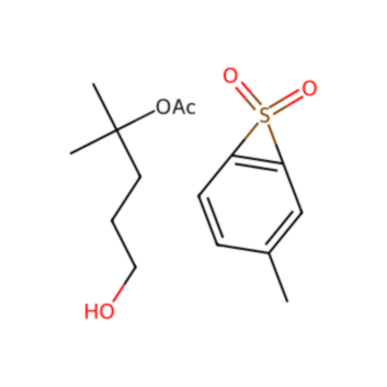 CC(=O)OC(C)(C)CCCO.Cc1ccc2c(c1)S2(=O)=O